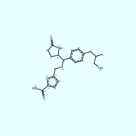 CC(CO)Cc1ccc(C(OCc2ccc(C(=O)O)o2)C2CCC(=O)N2)cc1